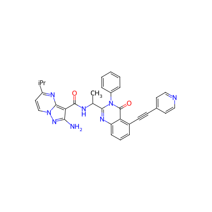 CC(C)c1ccn2nc(N)c(C(=O)NC(C)c3nc4cccc(C#Cc5ccncc5)c4c(=O)n3-c3ccccc3)c2n1